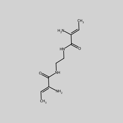 CC=C(N)C(=O)NCCNC(=O)C(N)=CC